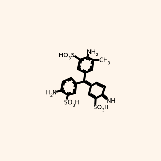 Cc1cc(/C(=C2\C=CC(=N)C(S(=O)(=O)O)=C2)c2ccc(N)c(S(=O)(=O)O)c2)cc(S(=O)(=O)O)c1N